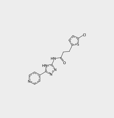 O=C(CCc1ccc(Cl)s1)Nc1nnc(-c2ccncc2)[nH]1